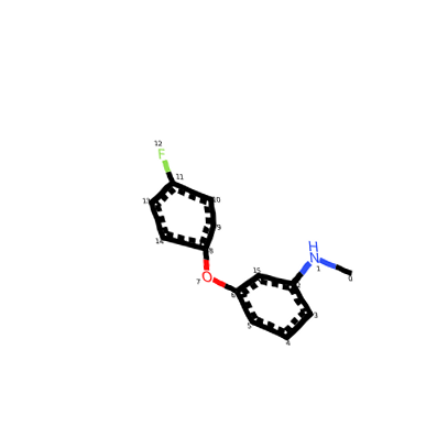 CNc1cccc(Oc2ccc(F)cc2)c1